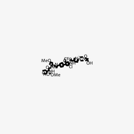 COC(O)N[C@H](C(=O)CN1C[C@@H](OC)C[C@H]1c1nc(-c2ccc(-c3cc(Cl)c(NC(=O)c4ccc(N5CCN(C(=O)C(C)(C)CO)C[C@H]5C)nc4)cc3OC(F)(F)F)cc2)c[nH]1)C1CCOCC1